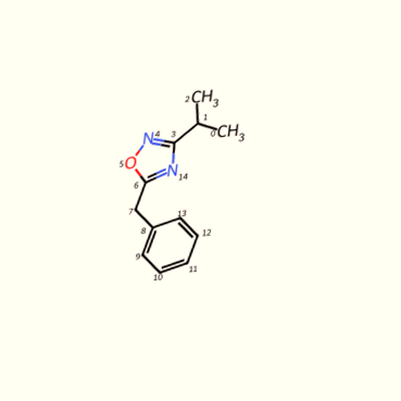 CC(C)c1noc(Cc2ccccc2)n1